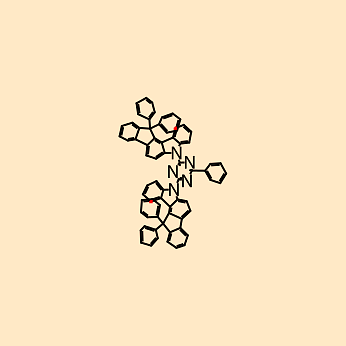 c1ccc(-c2nc(-n3c4ccccc4c4c5c(ccc43)-c3ccccc3C5(c3ccccc3)c3ccccc3)nc(-n3c4ccccc4c4c5c(ccc43)-c3ccccc3C5(c3ccccc3)c3ccccc3)n2)cc1